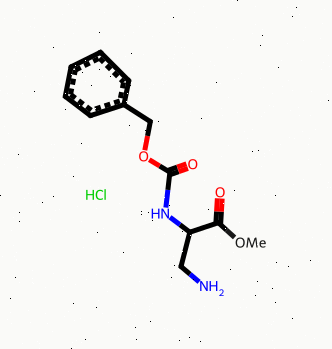 COC(=O)C(CN)NC(=O)OCc1ccccc1.Cl